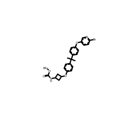 CC(C)(C)OC(=O)NC1CC(Oc2ccc(C(C)(C)c3ccc(Oc4ccc(Br)nc4)cc3)cc2)C1